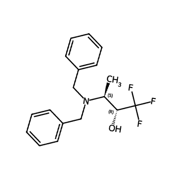 C[C@@H]([C@@H](O)C(F)(F)F)N(Cc1ccccc1)Cc1ccccc1